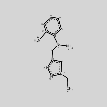 CCn1cc(CN(N)c2ccccc2N)nn1